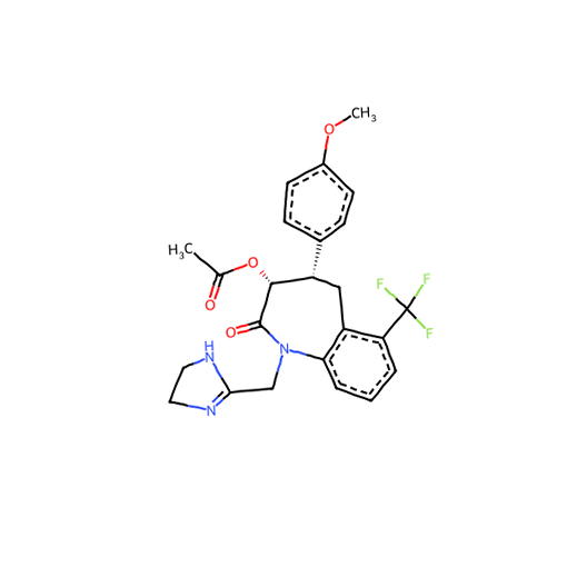 COc1ccc([C@@H]2Cc3c(cccc3C(F)(F)F)N(CC3=NCCN3)C(=O)[C@@H]2OC(C)=O)cc1